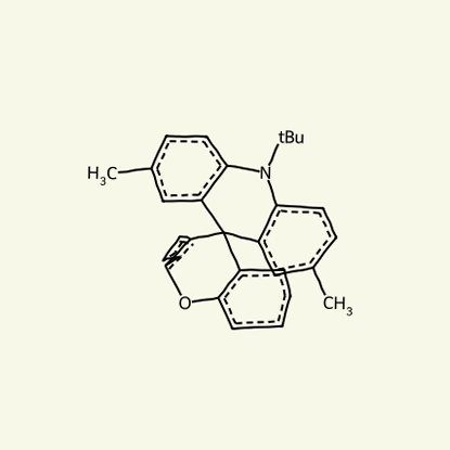 Cc1ccc2c(c1)C1(c3ccccc3Oc3ccccc31)c1cc(C)ccc1N2C(C)(C)C